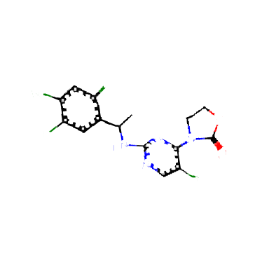 CC(Nc1ncc(F)c(N2CCOC2=O)n1)c1cc(F)c(Br)cc1F